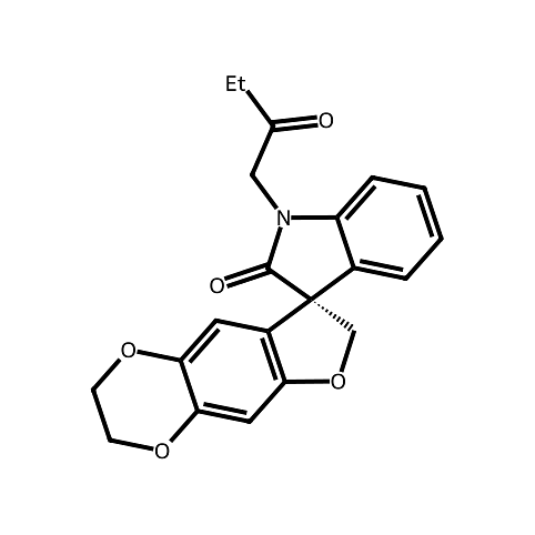 CCC(=O)CN1C(=O)[C@@]2(COc3cc4c(cc32)OCCO4)c2ccccc21